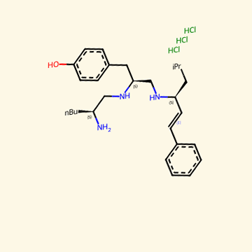 CCCC[C@H](N)CN[C@H](CN[C@H](/C=C/c1ccccc1)CC(C)C)Cc1ccc(O)cc1.Cl.Cl.Cl